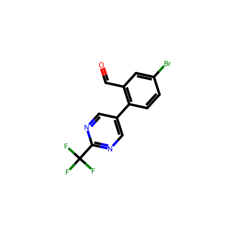 O=Cc1cc(Br)ccc1-c1cnc(C(F)(F)F)nc1